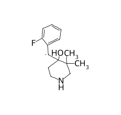 CC1(C)CNCCC1(O)[CH]c1ccccc1F